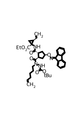 C=CCCCCN(NC(=O)OC(C)(C)C)C(=O)[C@@H]1C[C@H](ON=C2c3ccccc3-c3ccccc32)C[C@H]1C(=O)N[C@]1(C(=O)OCC)C[C@H]1C=C